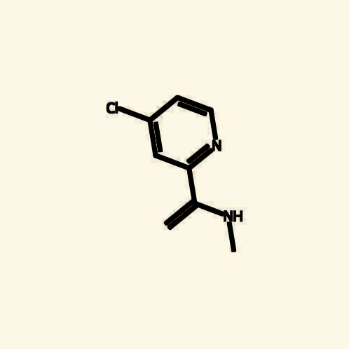 C=C(NC)c1cc(Cl)ccn1